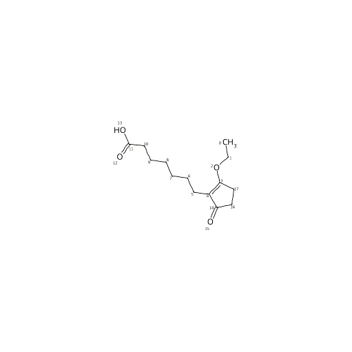 CCOC1=C(CCCCCCC(=O)O)C(=O)CC1